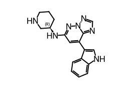 c1ccc2c(-c3cc(N[C@@H]4CCCNC4)nn4ncnc34)c[nH]c2c1